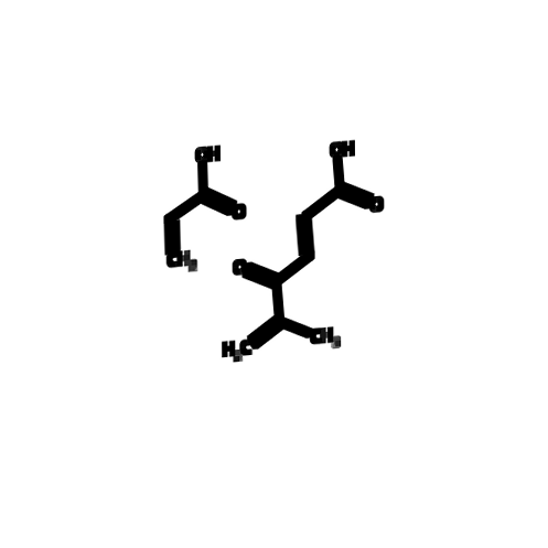 C=C(C)C(=O)C=CC(=O)O.C=CC(=O)O